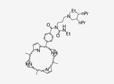 CCCC(CC)C(CCC)CN(C)CCCN(C(=O)NCC)C(=O)c1ccc(-c2c3nc(c(C)c4ccc([nH]4)c(C)c4nc(c(C)c5ccc2[nH]5)C=C4)C=C3)cc1